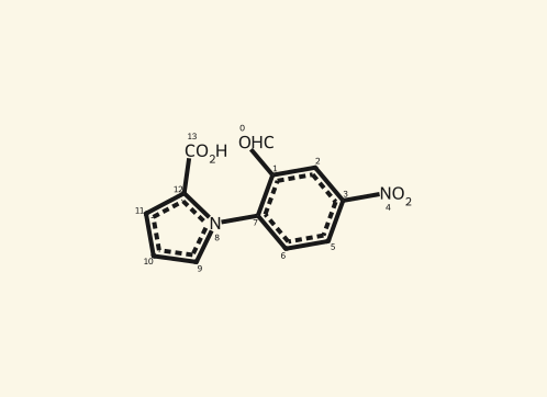 O=Cc1cc([N+](=O)[O-])ccc1-n1cccc1C(=O)O